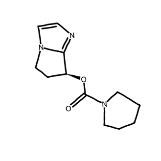 O=C(O[C@H]1CCn2ccnc21)N1CCCCC1